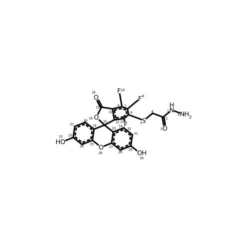 NNC(=O)CSc1c(F)c(F)c2c(c1F)C1(OC2=O)c2ccc(O)cc2Oc2cc(O)ccc21